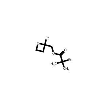 CCC1(COC(=O)C(C)(C)CC)CCO1